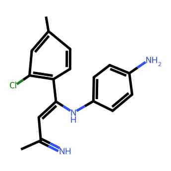 CC(=N)/C=C(\Nc1ccc(N)cc1)c1ccc(C)cc1Cl